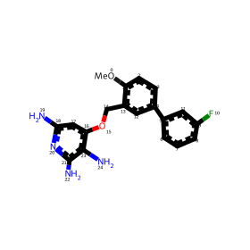 COc1ccc(-c2cccc(F)c2)cc1COc1cc(N)nc(N)c1N